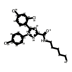 O=C(NCCCCCF)c1nc(-c2ccc(Cl)cc2Cl)n(-c2ccc(Cl)cc2)n1